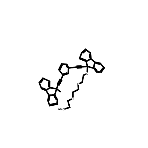 COCCOCCOCCOC1(C#Cc2cccc(C#CC3(C)c4ccccc4-c4ccccc43)c2)c2ccccc2-c2ccccc21